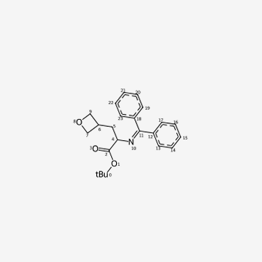 CC(C)(C)OC(=O)C(CC1COC1)N=C(c1ccccc1)c1ccccc1